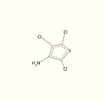 Nc1c(Cl)sc(Cl)c1Cl